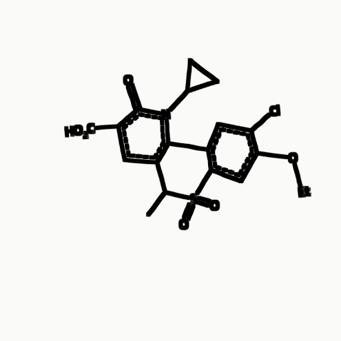 CCOc1cc2c(cc1Cl)-c1c(cc(C(=O)O)c(=O)n1C1CC1)C(C)S2(=O)=O